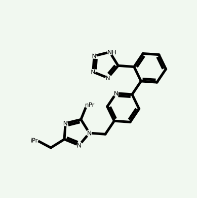 CCCc1nc(CC(C)C)nn1Cc1ccc(-c2ccccc2-c2nnn[nH]2)nc1